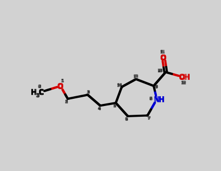 COCCCC1CCNC(C(=O)O)CC1